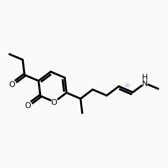 CCC(=O)c1ccc(C(C)CC/C=C/NC)oc1=O